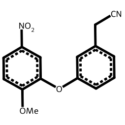 COc1ccc([N+](=O)[O-])cc1Oc1cccc(CC#N)c1